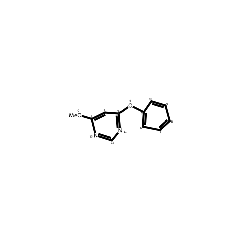 COc1cc(Oc2c[c]ccc2)ncn1